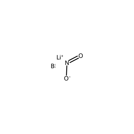 O=N[O-].[B].[Li+]